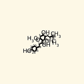 COc1cc(O)c(CC=C(C)C)c(O)c1C(O)CCc1ccc(O)cc1